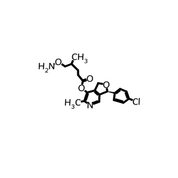 Cc1ncc2c(c1OC(=O)CCC(C)CON)CO[C@H]2c1ccc(Cl)cc1